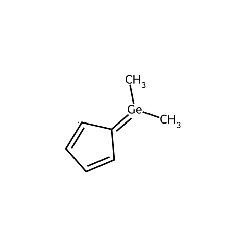 [CH3][Ge]([CH3])=[C]1[C]=CC=C1